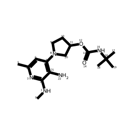 CNc1nc(C)cc(N2CCC(OC(=O)NC(C)(C)C)C2)c1N